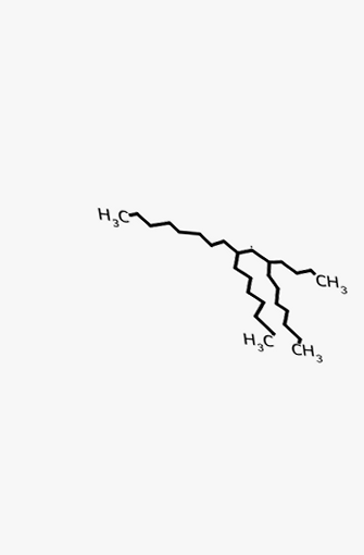 CCCCCCCCC([CH]C(CCCC)CCCCCCC)CCCCCCC